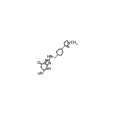 CCCc1cc(=O)n2nc(NCc3ccc(-c4ccn(C)n4)cc3)nc2[nH]1